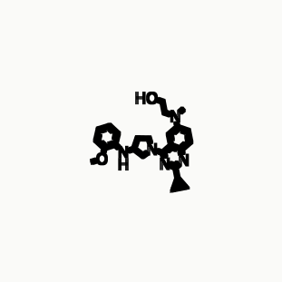 COc1ccccc1NC1CCN(c2nc(C3CC3)nc3ccc(N(C)CCO)cc23)C1